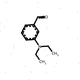 CCN(CC)c1cccc([C]=O)c1